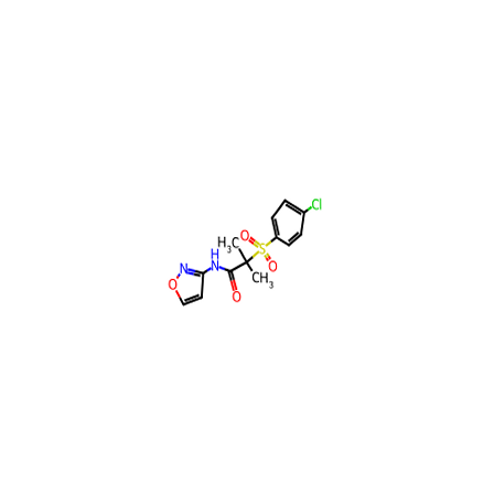 CC(C)(C(=O)Nc1ccon1)S(=O)(=O)c1ccc(Cl)cc1